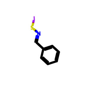 IS/N=C/c1ccccc1